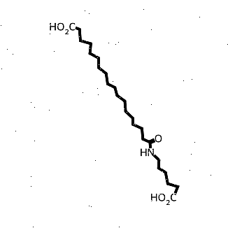 O=C(O)CCCCCCCCCCCCCCCCC(=O)NCCCCCC(=O)O